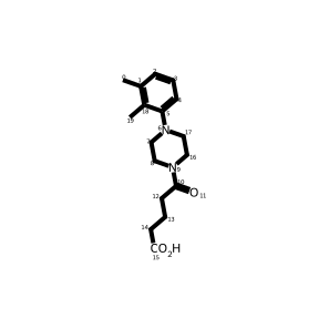 Cc1cccc(N2CCN(C(=O)CCCC(=O)O)CC2)c1C